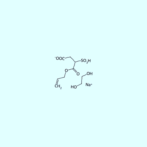 C=CCOC(=O)C(CC(=O)[O-])S(=O)(=O)O.OCCO.[Na+]